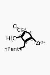 CCCCCCC1=[C]([Zr+2])CC=C1C.[Cl-].[Cl-]